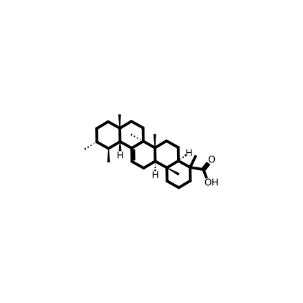 C[C@H]1[C@H](C)CC[C@]2(C)CC[C@]3(C)C(=CC[C@@H]4[C@@]5(C)CCCC(C)(C(=O)O)[C@@H]5CC[C@]43C)[C@H]12